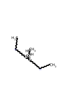 CCCCCCCC/C=C\CCCCCCCCOCC(COCCCCCCCC/C=C\CCCCCCCC)OC(=O)NCCNC